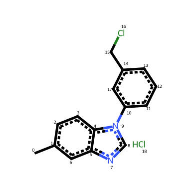 Cc1ccc2c(c1)ncn2-c1cccc(CCl)c1.Cl